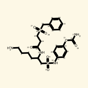 NCCCCC(CS(=O)(=O)Nc1ccc(OC(N)=O)cc1)NC(=O)[CH]CS(=O)(=O)Cc1ccccc1